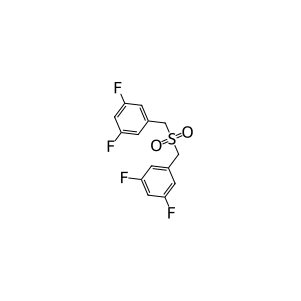 O=S(=O)(Cc1cc(F)cc(F)c1)Cc1cc(F)cc(F)c1